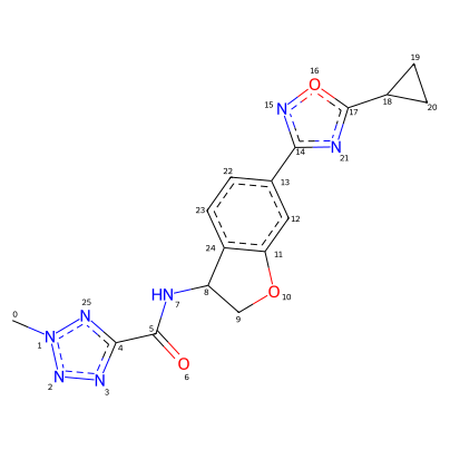 Cn1nnc(C(=O)NC2COc3cc(-c4noc(C5CC5)n4)ccc32)n1